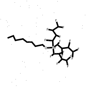 CCCCCCCC[O][Sn]([CH](F)C(F)C(F)C(F)F)([CH](F)C(F)C(F)C(F)F)[CH](F)C(F)C(F)C(F)F